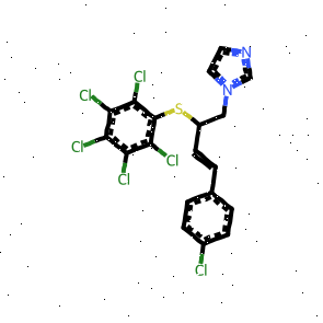 Clc1ccc(C=CC(Cn2ccnc2)Sc2c(Cl)c(Cl)c(Cl)c(Cl)c2Cl)cc1